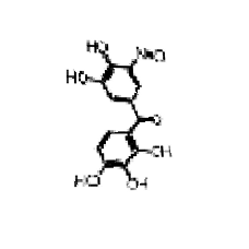 O=Nc1cc(C(=O)c2ccc(O)c(O)c2O)cc(O)c1O